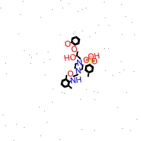 COc1ccccc1OCC(O)CN1CCN(CC(=O)Nc2c(C)cccc2C)CC1.Cc1ccc(S(=O)(=O)O)cc1